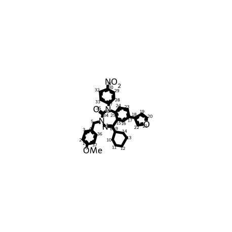 COc1ccc(CN2N=C(C3CCCCC3)c3cc(-c4ccoc4)ccc3N(c3ccc([N+](=O)[O-])cc3)C2=O)cc1